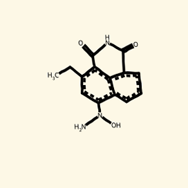 CCc1cc(N(N)O)c2cccc3c2c1C(=O)NC3=O